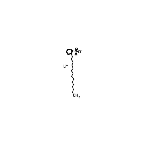 CCCCCCCCCCCCCCCc1ccccc1S(=O)(=O)[O-].[Li+]